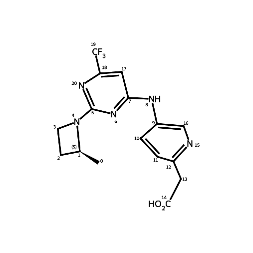 C[C@H]1CCN1c1nc(Nc2ccc(CC(=O)O)nc2)cc(C(F)(F)F)n1